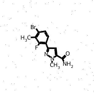 Cc1c(Br)ccc(-c2cc(C(N)=O)n(C)n2)c1F